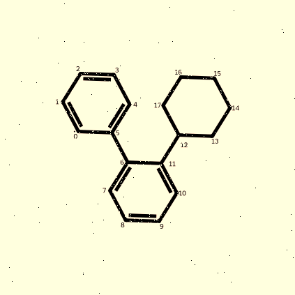 [c]1ccccc1-c1ccccc1C1CCCCC1